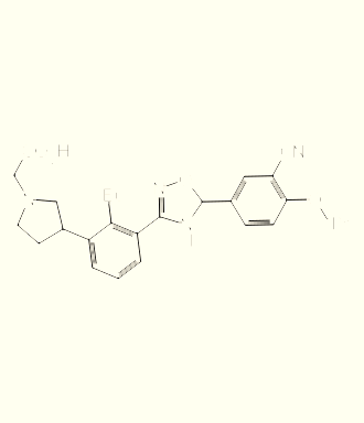 CCc1c(C2=NOC(c3ccc(OC(C)C)c(C#N)c3)N2)cccc1C1CCN(CC(=O)O)C1